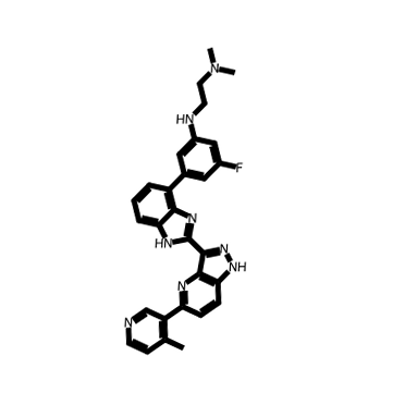 Cc1ccncc1-c1ccc2[nH]nc(-c3nc4c(-c5cc(F)cc(NCCN(C)C)c5)cccc4[nH]3)c2n1